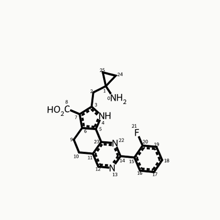 NC1(Cc2[nH]c3c(c2C(=O)O)CCc2cnc(-c4ccccc4F)nc2-3)CC1